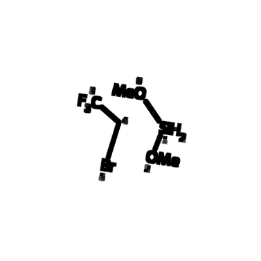 CO[SiH2]OC.FC(F)(F)CBr